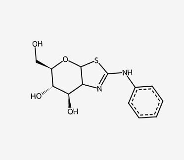 OC[C@H]1OC2SC(Nc3ccccc3)=NC2[C@@H](O)[C@@H]1O